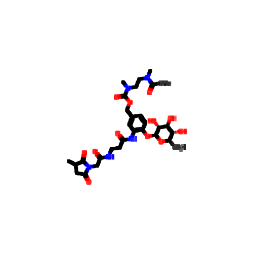 COC(=O)N(C)CCN(C)C(=O)OCc1ccc(O[C@@H]2O[C@H](C(=O)O)[C@@H](O)[C@H](O)[C@H]2O)c(NC(=O)CCNC(=O)CN2C(=O)CC(C)C2=O)c1